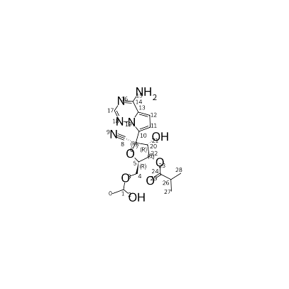 CC(O)OC[C@H]1O[C@@](C#N)(c2ccc3c(N)ncnn23)[C@H](O)[C@@H]1OC(=O)C(C)C